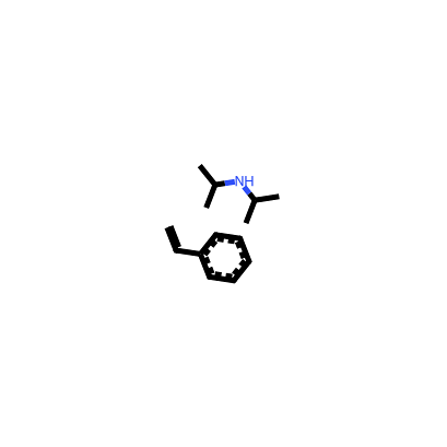 C=Cc1ccccc1.CC(C)NC(C)C